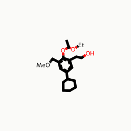 CCOC(C)Oc1c(CCO)cc(C2CCCCC2)cc1COC